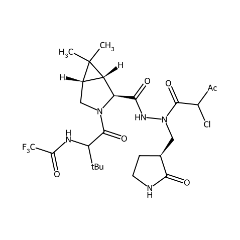 CC(=O)C(Cl)C(=O)N(C[C@@H]1CCNC1=O)NC(=O)[C@@H]1[C@@H]2[C@H](CN1C(=O)C(NC(=O)C(F)(F)F)C(C)(C)C)C2(C)C